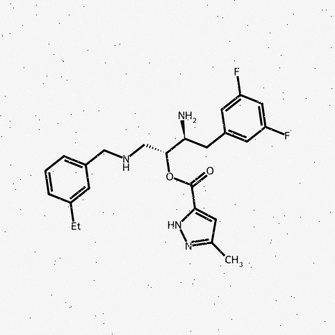 CCc1cccc(CNC[C@@H](OC(=O)c2cc(C)n[nH]2)[C@@H](N)Cc2cc(F)cc(F)c2)c1